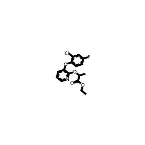 CCOC(=O)C(C)Oc1ncccc1Oc1c[c]c(F)cc1Cl